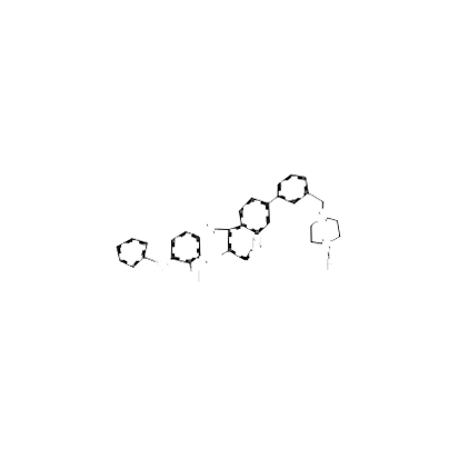 CCN1CCN(Cc2cccc(-c3ccc4c(Nc5ccc(Oc6ccccc6)c(Cl)c5)c(C#N)cnc4c3)c2)CC1